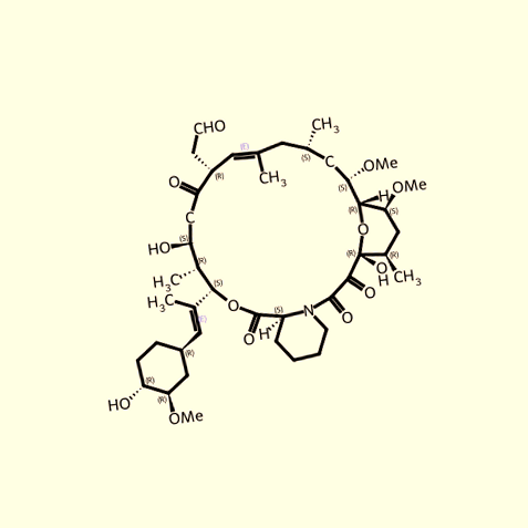 CO[C@H]1C[C@@H](C)C/C(C)=C/[C@@H](CC=O)C(=O)C[C@H](O)[C@@H](C)[C@@H](/C(C)=C/[C@@H]2CC[C@@H](O)[C@H](OC)C2)OC(=O)[C@@H]2CCCCN2C(=O)C(=O)[C@]2(O)O[C@H]1[C@@H](OC)C[C@H]2C